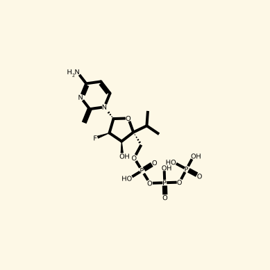 C=C1N=C(N)C=CN1[C@@H]1O[C@@](COP(=O)(O)OP(=O)(O)OP(=O)(O)O)(C(C)C)[C@@H](O)[C@H]1F